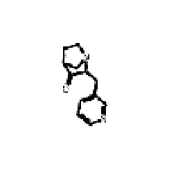 O=C1C2CCN(C2)C1Cc1cccnc1